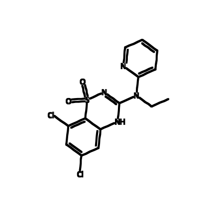 CCN(C1=NS(=O)(=O)c2c(Cl)cc(Cl)cc2N1)c1ccccn1